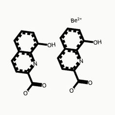 O=C([O-])c1ccc2cccc(O)c2n1.O=C([O-])c1ccc2cccc(O)c2n1.[Be+2]